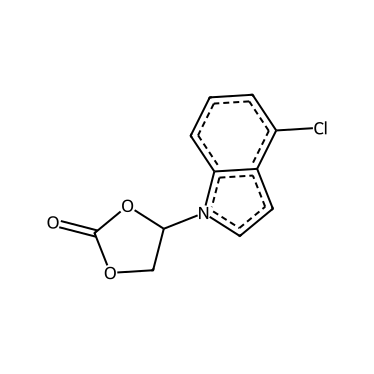 O=C1OCC(n2ccc3c(Cl)cccc32)O1